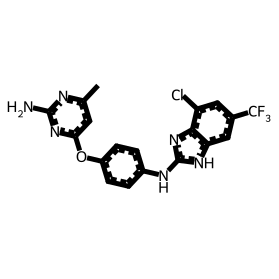 Cc1cc(Oc2ccc(Nc3nc4c(Cl)cc(C(F)(F)F)cc4[nH]3)cc2)nc(N)n1